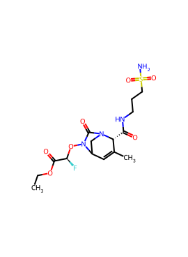 CCOC(=O)[C@H](F)ON1C(=O)N2CC1C=C(C)[C@H]2C(=O)NCCCS(N)(=O)=O